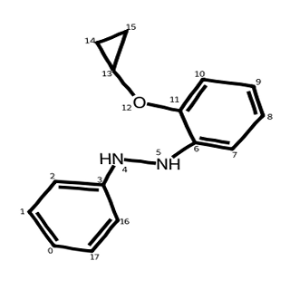 c1ccc(NNc2ccccc2OC2CC2)cc1